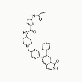 C=CC(=O)Nc1ccc(C(=O)NC2CCN(Cc3ccc(-c4nc5cc[nH]c(=O)c5cc4-c4ccccc4)cc3)CC2)s1